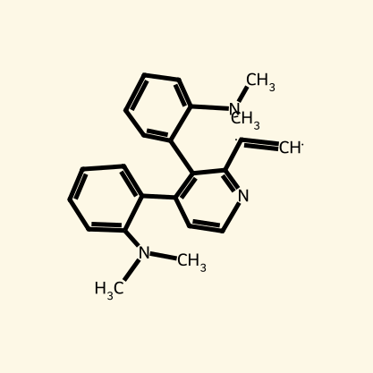 [CH]=[C]c1nccc(-c2ccccc2N(C)C)c1-c1ccccc1N(C)C